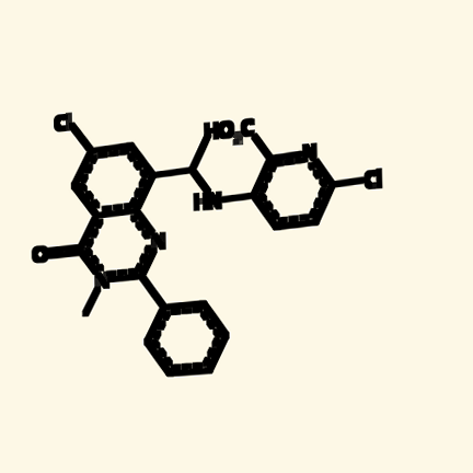 CC(Nc1ccc(Cl)nc1C(=O)O)c1cc(Cl)cc2c(=O)n(C)c(-c3ccccc3)nc12